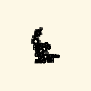 COC1=CC(C2c3cc4c(cc3[C@@H](NC(=O)C3C=CC=C(CN5CCN(C)CC5)C=C3)[C@H]3COC(=O)[C@H]23)OCO4)=CC(OC)[C@@H]1O